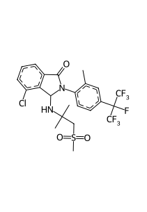 Cc1cc(C(F)(C(F)(F)F)C(F)(F)F)ccc1N1C(=O)c2cccc(Cl)c2C1NC(C)(C)CS(C)(=O)=O